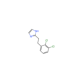 Clc1cccc(CCc2ncc[nH]2)c1Cl